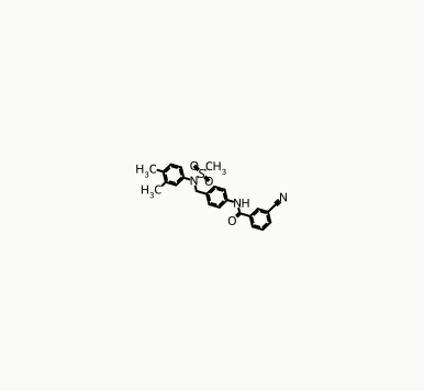 Cc1ccc(N(Cc2ccc(NC(=O)c3cccc(C#N)c3)cc2)S(C)(=O)=O)cc1C